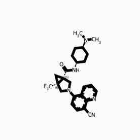 CN(C)[C@H]1CC[C@H](NC(=O)[C@]23CN(c4ccc(C#N)c5ncccc45)C[C@@]2(C(F)(F)F)C3)CC1